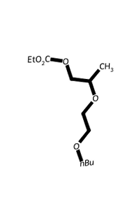 CCCCOCCOC(C)COC(=O)OCC